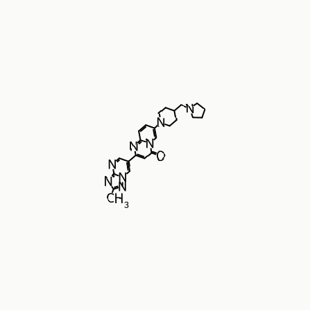 Cc1nc2ncc(-c3cc(=O)n4cc(N5CCC(CN6CCCC6)CC5)ccc4n3)cn2n1